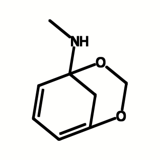 CNC12C=CC=C(C1)OCO2